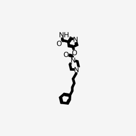 NC(=O)c1cncc(OC(=O)N2CCN(CCCCCc3ccccc3)CC2)c1